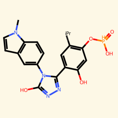 CC(C)c1cc(-c2nnc(O)n2-c2ccc3c(ccn3C)c2)c(O)cc1O[PH](=O)O